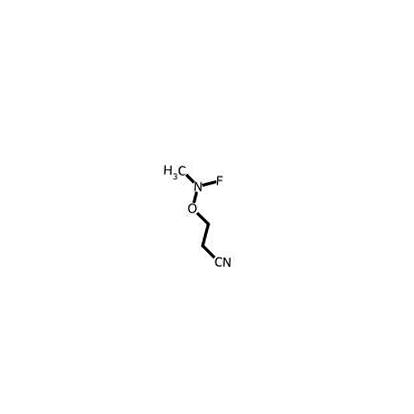 CN(F)OCCC#N